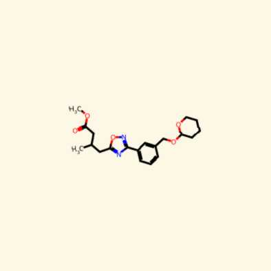 COC(=O)CC(C)Cc1nc(-c2cccc(COC3CCCCO3)c2)no1